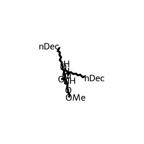 CCCCCCCCCCCCCCCCCCOCC(COC(=O)NCCCOCCOC)NC(=O)CCCCCCCCCCCCCCCCC